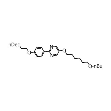 CCCCCCCCCCCCOc1ccc(-c2ncc(OCCCCCCOCCCC)cn2)cc1